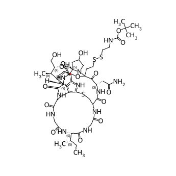 CC[C@H](C)[C@@H]1NC(=O)CNC(=O)C2Cc3c4[nH]c5cc(ccc35)OC(CCSSCCNC(=O)OC(C)(C)C)(C(=O)[C@H](CC(N)=O)NC(=O)C(CS4)NC(=O)CNC1=O)N1CC(O)C[C@H]1C(=O)N[C@@H]([C@@H](C)[C@@H](O)CO)C(=O)N2